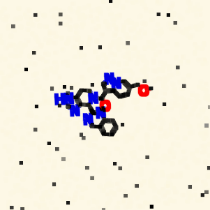 COCc1ccc2c(C(=O)N3CCc4[nH]cnc4[C@@H]3c3ncc4ccccc4n3)cnn2c1